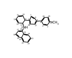 Cc1ccc(-c2ccc(C3C=CC=CC3Nc3cccc4ccccc34)cc2)cc1